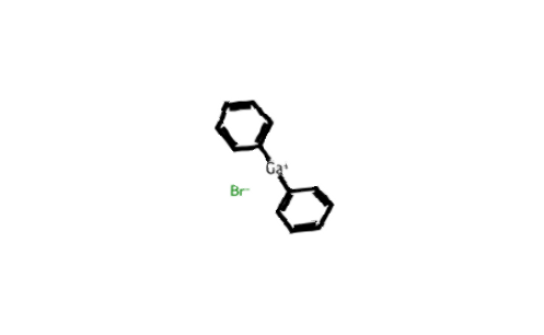 [Br-].c1cc[c]([Ga+][c]2ccccc2)cc1